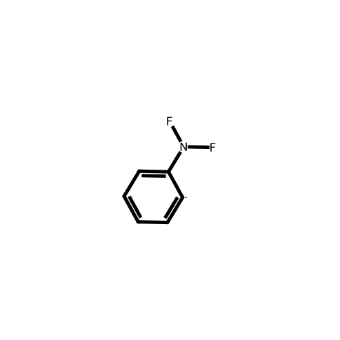 FN(F)c1[c]cccc1